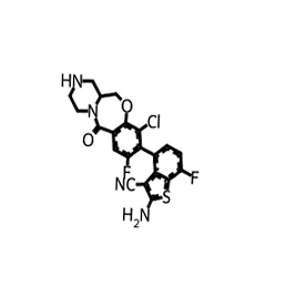 N#Cc1c(N)sc2c(F)ccc(-c3c(F)cc4c(c3Cl)OCC3CNCCN3C4=O)c12